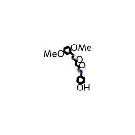 COc1ccc(OC)c(/C=C/C(=O)CC(=O)/C=C/c2ccc(O)cc2)c1